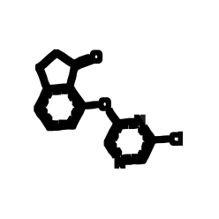 O=C1CCc2cccc(Oc3cncc(Cl)n3)c21